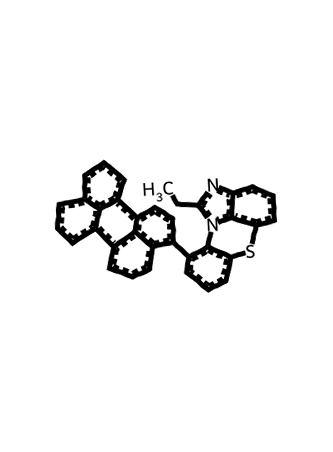 CCc1nc2cccc3c2n1-c1c(cccc1-c1ccc2c4cccc5cccc(c6cccc1c62)c54)S3